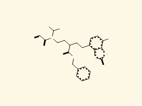 C=CC(=O)N(CCC(CCc1ccc(O)c2[nH]c(=O)sc12)C(=O)OCc1ccccc1)C(CCC)CCC